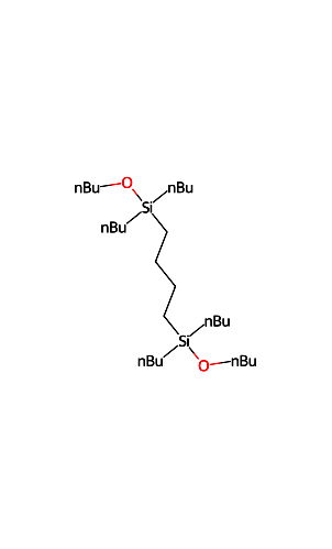 CCCCO[Si](CCCC)(CCCC)CCCC[Si](CCCC)(CCCC)OCCCC